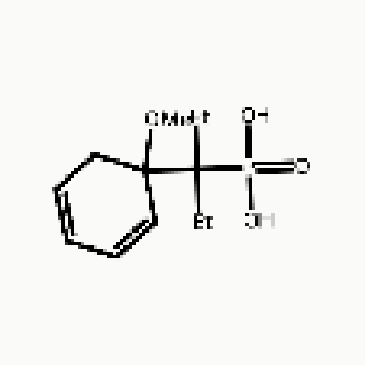 CCC(CC)(C1(OC)C=CC=CC1)P(=O)(O)O